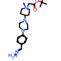 CC(C)(C)OC(=O)C[N+]1(C)CCC(N2CCN(c3ccc(C=NN)cc3)CC2)CC1